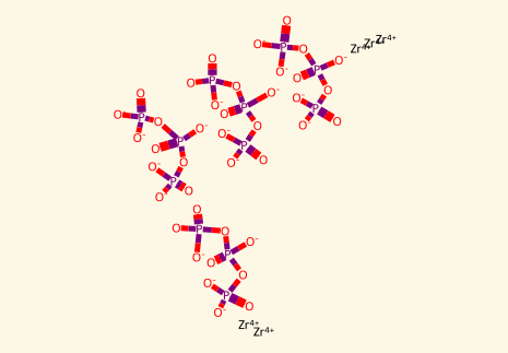 O=P([O-])([O-])OP(=O)([O-])OP(=O)([O-])[O-].O=P([O-])([O-])OP(=O)([O-])OP(=O)([O-])[O-].O=P([O-])([O-])OP(=O)([O-])OP(=O)([O-])[O-].O=P([O-])([O-])OP(=O)([O-])OP(=O)([O-])[O-].[Zr+4].[Zr+4].[Zr+4].[Zr+4].[Zr+4]